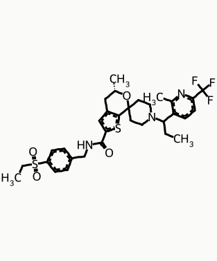 CCC(c1ccc(C(F)(F)F)nc1C)N1CCC2(CC1)O[C@@H](C)Cc1cc(C(=O)NCc3ccc(S(=O)(=O)CC)cc3)sc12